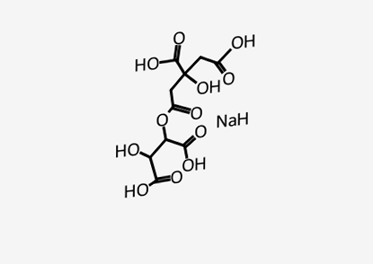 O=C(O)CC(O)(CC(=O)OC(C(=O)O)C(O)C(=O)O)C(=O)O.[NaH]